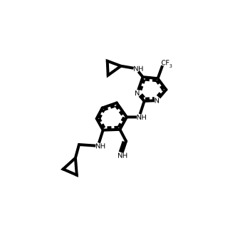 N=Cc1c(NCC2CC2)cccc1Nc1ncc(C(F)(F)F)c(NC2CC2)n1